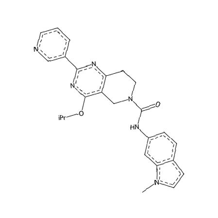 CC(C)Oc1nc(-c2cccnc2)nc2c1CN(C(=O)Nc1ccc3ccn(C)c3c1)CC2